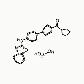 O=C(O)O.O=C(c1ccc(-c2ccc(Nc3nc4ccccc4o3)cc2)cc1)C1CCCC1